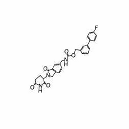 O=C1CCC(N2Cc3ccc(CNC(=O)OCc4cccc(-c5ccc(F)cc5)c4)cc3C2=O)C(=O)N1